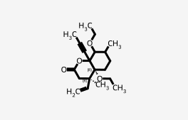 C=C[C@@]1(C)CC(=O)OC2(C#CC)C(OCC)C(C)CC[C@]21OCC